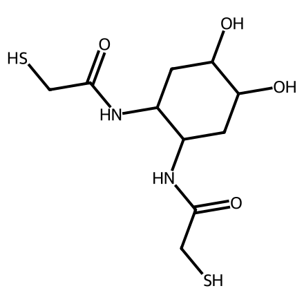 O=C(CS)NC1CC(O)C(O)CC1NC(=O)CS